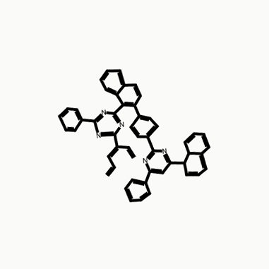 C=C/C=C(\C=C)c1nc(-c2ccccc2)nc(-c2c(-c3ccc(-c4nc(-c5ccccc5)cc(C5C=CC=C6C=CC=CC65)n4)cc3)ccc3ccccc23)n1